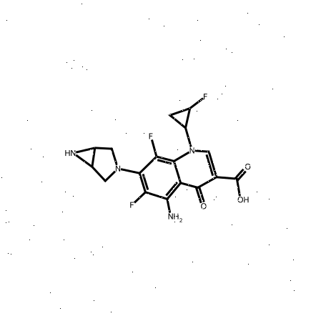 Nc1c(F)c(N2CC3NC3C2)c(F)c2c1c(=O)c(C(=O)O)cn2C1CC1F